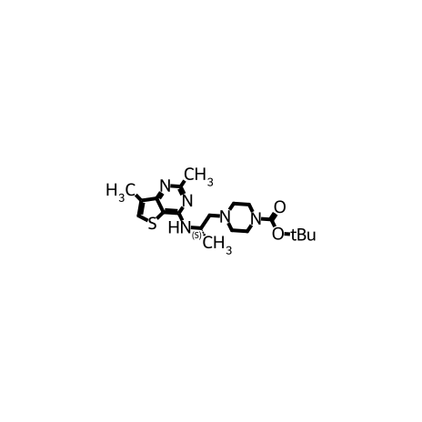 Cc1nc(N[C@@H](C)CN2CCN(C(=O)OC(C)(C)C)CC2)c2scc(C)c2n1